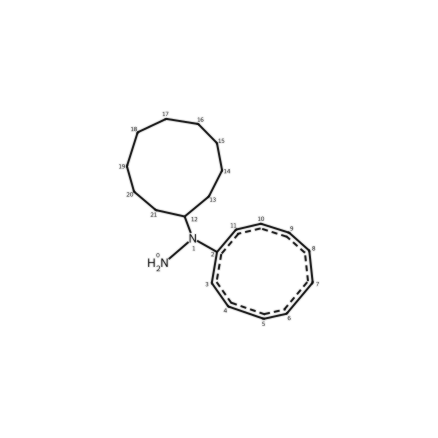 NN(c1ccccccccc1)C1CCCCCCCCC1